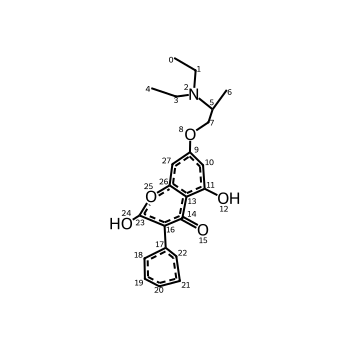 CCN(CC)C(C)COc1cc(O)c2c(=O)c(-c3ccccc3)c(O)oc2c1